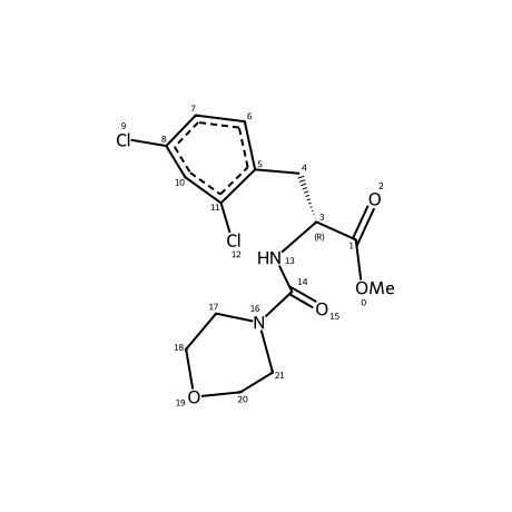 COC(=O)[C@@H](Cc1ccc(Cl)cc1Cl)NC(=O)N1CCOCC1